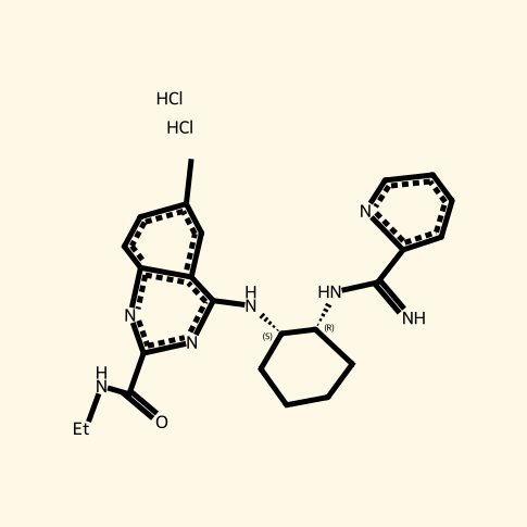 CCNC(=O)c1nc(N[C@H]2CCCC[C@H]2NC(=N)c2ccccn2)c2cc(C)ccc2n1.Cl.Cl